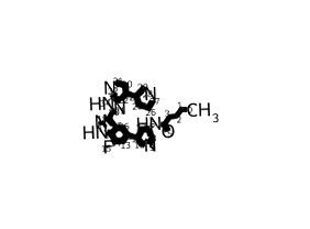 CCCCC(=O)Nc1cncc(-c2cc(F)c3[nH]nc(-c4nc5c(-c6cccnc6)ccnc5[nH]4)c3c2)c1